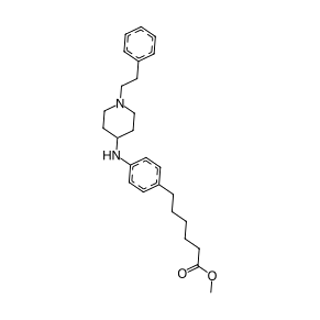 COC(=O)CCCCCc1ccc(NC2CCN(CCc3ccccc3)CC2)cc1